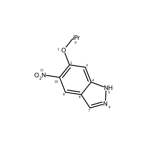 CC(C)Oc1cc2[nH]ncc2cc1[N+](=O)[O-]